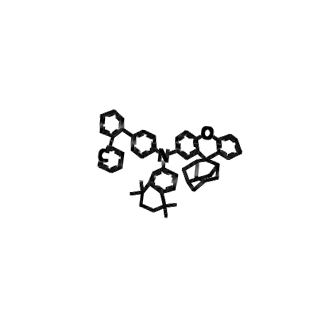 CC1(C)CCC(C)(C)c2cc(N(c3ccc(-c4ccccc4-c4ccccc4)cc3)c3ccc4c(c3)C3(c5ccccc5O4)C4CC5CC(C4)CC3C5)ccc21